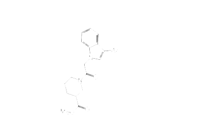 COC(=O)C1CCCN(C(=O)Cn2cc(C(C)=O)c3ccccc32)C1